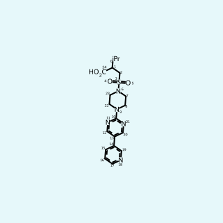 CC(C)C(CS(=O)(=O)N1CCN(c2ncc(-c3cccnc3)cn2)CC1)C(=O)O